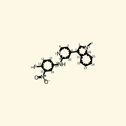 Cn1cc(-c2ccnc(Nc3ccc(F)c([N+](=O)[O-])c3)c2)c2ccccc21